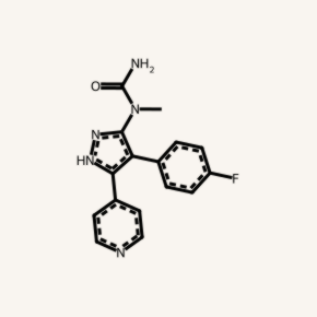 CN(C(N)=O)c1n[nH]c(-c2ccncc2)c1-c1ccc(F)cc1